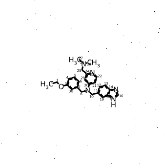 CCOc1cccc(CN(Cc2ccc3nc[nH]c3c2)c2ccnc(CN(C)C)c2)c1